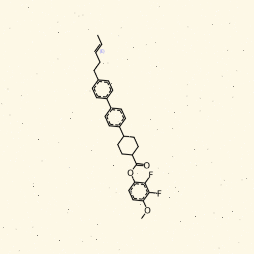 C/C=C/CCc1ccc(-c2ccc(C3CCC(C(=O)Oc4ccc(OC)c(F)c4F)CC3)cc2)cc1